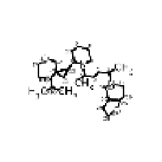 CC(CCC(C)N1CCCCC1C1CC12COCCN2C(C)C)N1CCC2OCCC2C1